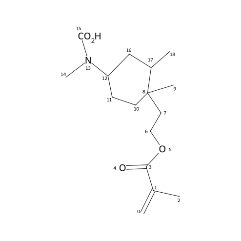 C=C(C)C(=O)OCCC1(C)CCC(N(C)C(=O)O)CC1C